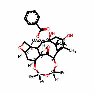 CC(=O)O[C@@]12CO[C@@H]1C[C@@H]1O[Si](C(C)C)(C(C)C)O[Si](C(C)C)(C(C)C)O[C@H]3C(=O)[C@@]1(C)C2[C@H](OC(=O)c1ccccc1)[C@]1(O)C[C@H](O)C(C)=C3C1(C)C